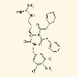 N=C(N)NCCC[C@H](C(=O)NCc1cc(Cl)c(N)c(Cl)c1)N(C(=O)Cc1ccccc1)C(=O)Cc1ccccc1